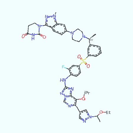 CCOC(C)n1cc(-c2ncn3nc(Nc4ccc(S(=O)(=O)c5cccc([C@H](C)N6CCN(c7ccc8c(N9CCC(=O)NC9=O)nn(C)c8c7)CC6)c5)cc4F)nc3c2OC(C)C)cn1